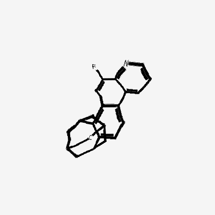 Fc1cc2c3c(ccc2c2cccnc12)C1CC2CC(C1)CC3C2